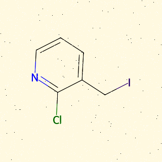 Clc1ncccc1CI